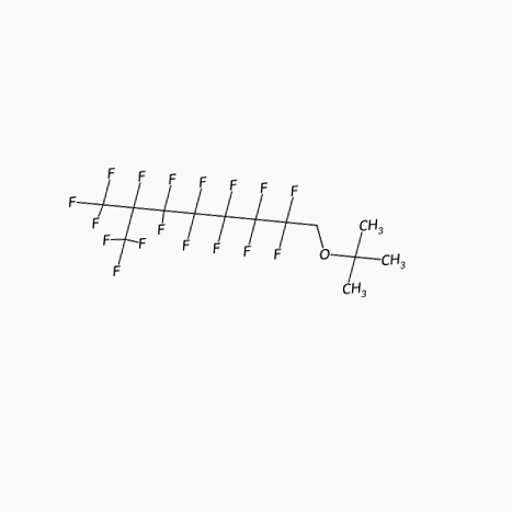 CC(C)(C)OCC(F)(F)C(F)(F)C(F)(F)C(F)(F)C(F)(F)C(F)(C(F)(F)F)C(F)(F)F